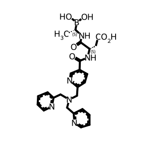 C[C@@H](NC(=O)[C@H](CC(=O)O)NC(=O)c1ccc(CN(Cc2ccccn2)Cc2ccccn2)nc1)B(O)O